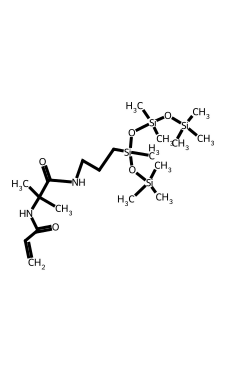 C=CC(=O)NC(C)(C)C(=O)NCCC[Si](C)(O[Si](C)(C)C)O[Si](C)(C)O[Si](C)(C)C